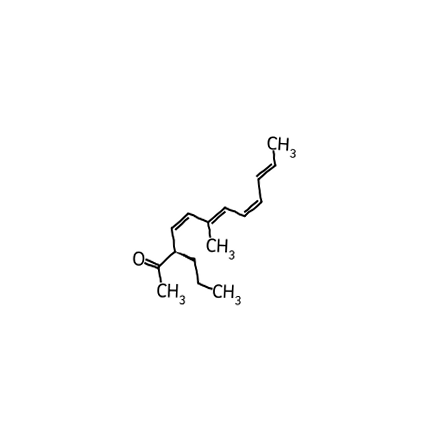 C/C=C/C=C\C=C(C)\C=C/[C@@H](CCC)C(C)=O